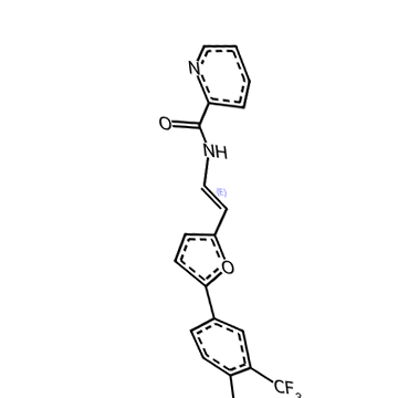 N#Cc1ccc(-c2ccc(/C=C/NC(=O)c3ccccn3)o2)cc1C(F)(F)F